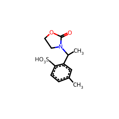 Cc1ccc(S(=O)(=O)O)c(C(C)N2CCOC2=O)c1